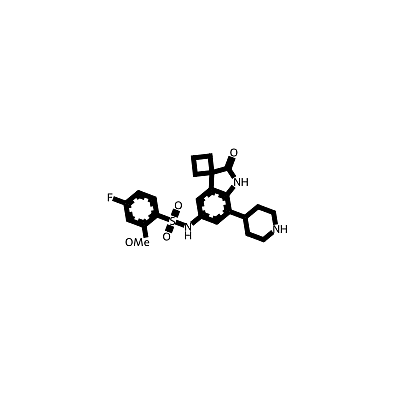 COc1cc(F)ccc1S(=O)(=O)Nc1cc(C2CCNCC2)c2c(c1)C1(CCC1)C(=O)N2